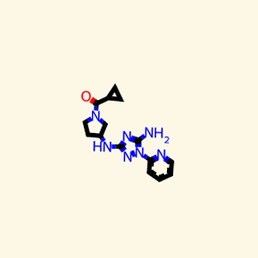 Nc1nc(NC2CCN(C(=O)C3CC3)C2)nn1-c1ccccn1